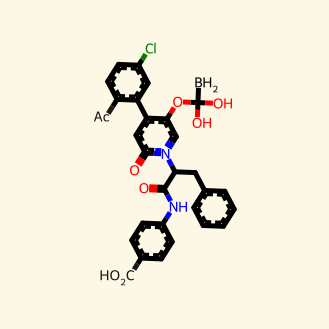 BC(O)(O)Oc1cn(C(Cc2ccccc2)C(=O)Nc2ccc(C(=O)O)cc2)c(=O)cc1-c1cc(Cl)ccc1C(C)=O